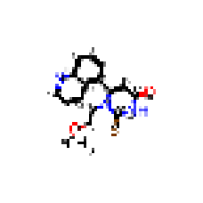 COCCn1c(-c2cccc3ncccc23)cc(=O)[nH]c1=S